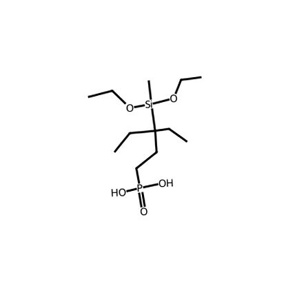 CCO[Si](C)(OCC)C(CC)(CC)CCP(=O)(O)O